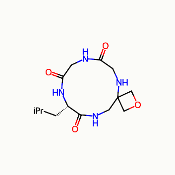 CC(C)C[C@@H]1NC(=O)CNC(=O)CNC2(CNC1=O)COC2